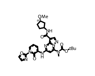 CO[C@@H]1CCC(NC(=O)c2cnn3c(N(C)C(=O)OC(C)(C)C)cc(Nc4cccn(-c5ncco5)c4=O)nc23)C1